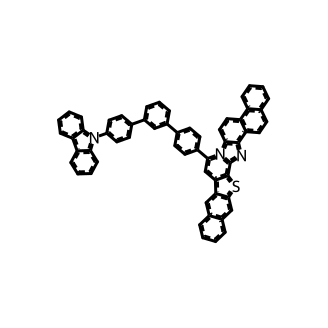 c1cc(-c2ccc(-c3cc4c5cc6ccccc6cc5sc4c4nc5c6ccc7ccccc7c6ccc5n34)cc2)cc(-c2ccc(-n3c4ccccc4c4ccccc43)cc2)c1